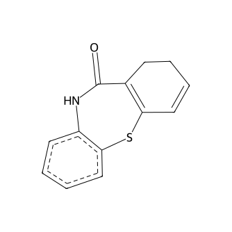 O=C1Nc2ccccc2SC2=C1CCC=C2